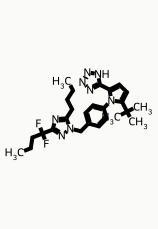 CCCCc1nc(C(F)(F)CCC)nn1Cc1ccc(-n2c(-c3nnn[nH]3)ccc2C(C)(C)C)cc1